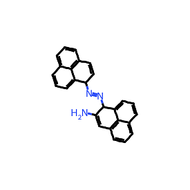 NC1=Cc2cccc3cccc(c23)C1N=NC1C=Cc2cccc3cccc1c23